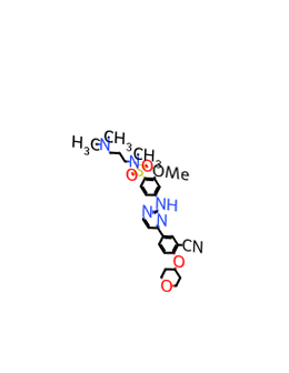 COc1cc(Nc2nccc(-c3ccc(OC4CCOCC4)c(C#N)c3)n2)ccc1S(=O)(=O)N(C)CCCN(C)C